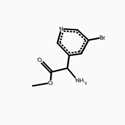 COC(=O)C(N)c1cncc(Br)c1